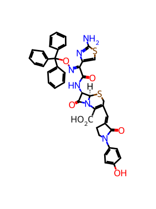 Nc1nc(C(=NOC(c2ccccc2)(c2ccccc2)c2ccccc2)C(=O)N[C@@H]2C(=O)N3C(C(=O)O)=C(C=C4CCN(c5ccc(O)cc5)C4=O)CS[C@H]23)cs1